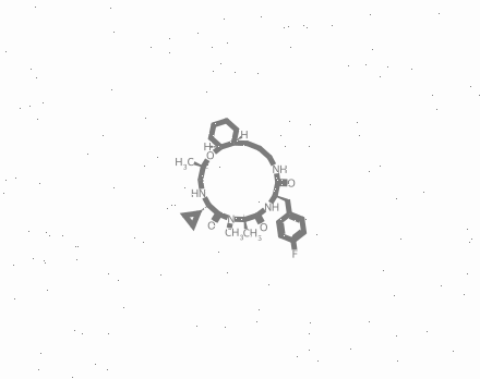 C[C@@H]1CN[C@@H](C2CC2)C(=O)N(C)[C@H](C)C(=O)N[C@H](Cc2ccc(F)cc2)C(=O)NCCC[C@@H]2CCCC[C@@H]2O1